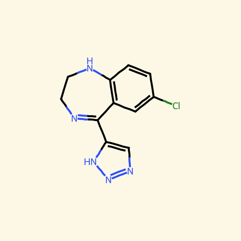 Clc1ccc2c(c1)C(c1cnn[nH]1)=NCCN2